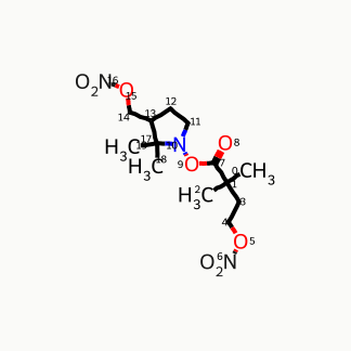 CC(C)(CCO[N+](=O)[O-])C(=O)ON1CCC(CO[N+](=O)[O-])C1(C)C